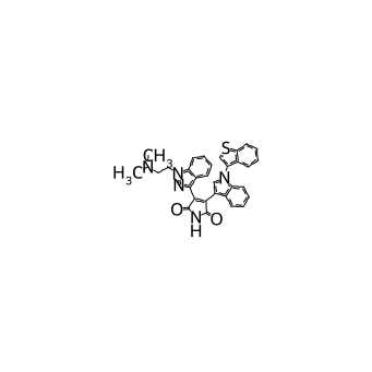 CN(C)CCn1nc(C2=C(c3cn(-c4csc5ccccc45)c4ccccc34)C(=O)NC2=O)c2ccccc21